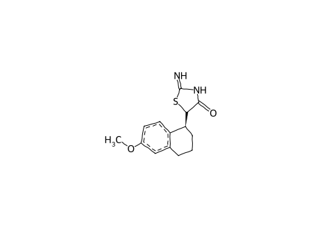 COc1ccc2c(c1)CCC[C@@H]2C1SC(=N)NC1=O